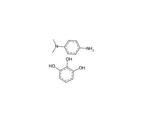 CN(C)c1ccc(N)cc1.Oc1cccc(O)c1O